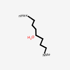 CCCCCCCCCCCCCNC.O